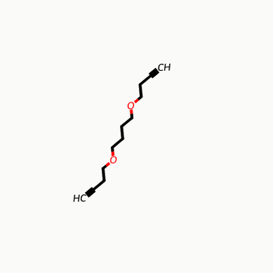 C#CCCOCCCCOCCC#C